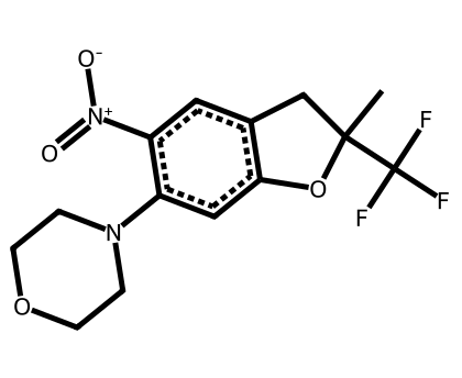 CC1(C(F)(F)F)Cc2cc([N+](=O)[O-])c(N3CCOCC3)cc2O1